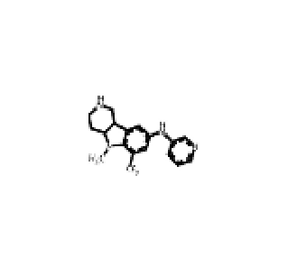 CN1c2c(cc(Nc3cccnc3)cc2C(F)(F)F)C2CNCCC21